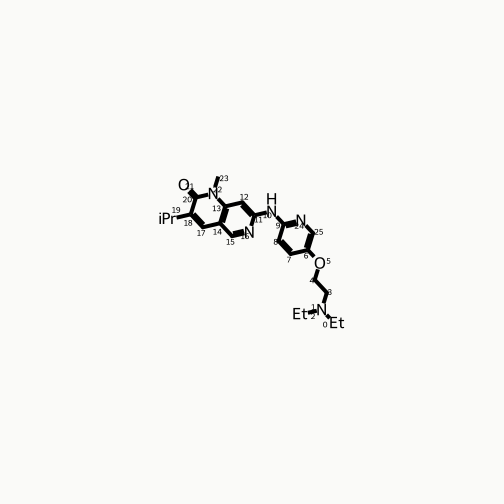 CCN(CC)CCOc1ccc(Nc2cc3c(cn2)cc(C(C)C)c(=O)n3C)nc1